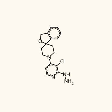 NNc1nccc(N2CCC3(CC2)OCc2ccccc23)c1Cl